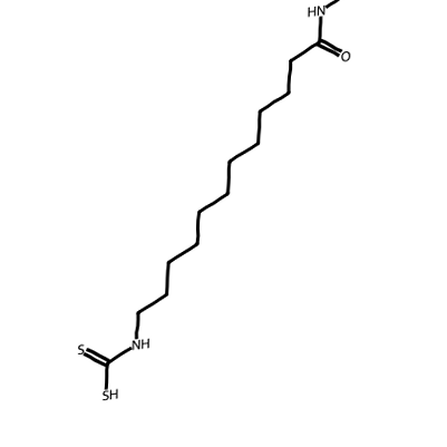 O=C(CCCCCCCCCCCNC(=S)S)NO